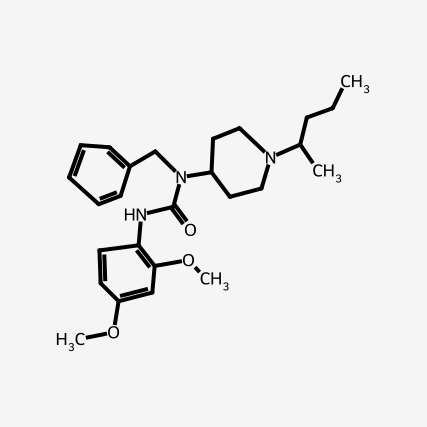 CCCC(C)N1CCC(N(Cc2ccccc2)C(=O)Nc2ccc(OC)cc2OC)CC1